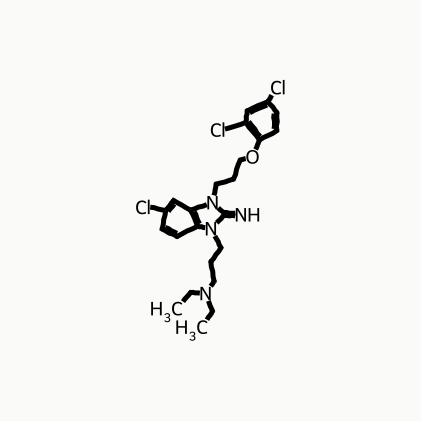 CCN(CC)CCCn1c(=N)n(CCCOc2ccc(Cl)cc2Cl)c2cc(Cl)ccc21